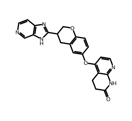 O=C1CCc2c(Oc3ccc4c(c3)CC(c3nc5ccncc5[nH]3)CO4)ccnc2N1